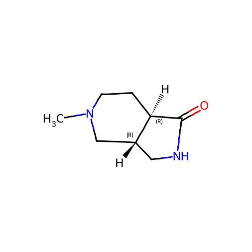 CN1CC[C@H]2C(=O)NC[C@@H]2C1